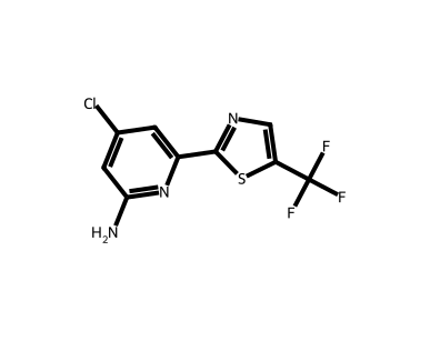 Nc1cc(Cl)cc(-c2ncc(C(F)(F)F)s2)n1